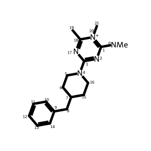 CNc1nc(N2CCC(Cc3ccccc3)CC2)nc(C)[n+]1C